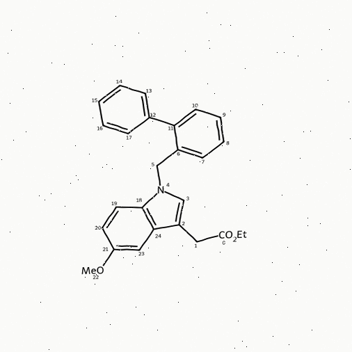 CCOC(=O)Cc1cn(Cc2ccccc2-c2ccccc2)c2ccc(OC)cc12